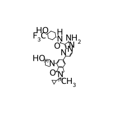 C[C@@H](C1CC1)N1Cc2cc(-c3ccn4nc(N)c(C(=O)N[C@H]5CC[C@](O)(C(F)(F)F)CC5)c4n3)cc(N3CC[C@@H](O)C3)c2C1=O